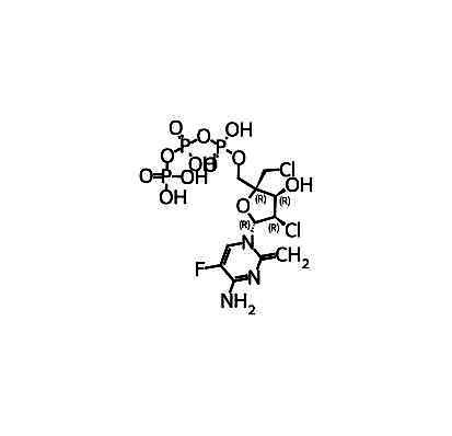 C=C1N=C(N)C(F)=CN1[C@@H]1O[C@](CCl)(COP(=O)(O)OP(=O)(O)OP(=O)(O)O)[C@@H](O)[C@H]1Cl